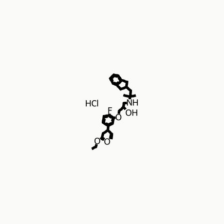 C=CC(CC(=O)OCC)c1ccc(F)c(OCC(O)CNC(C)(C)CC2Cc3ccccc3C2)c1.Cl